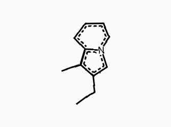 CCc1cn2ccccc2c1C